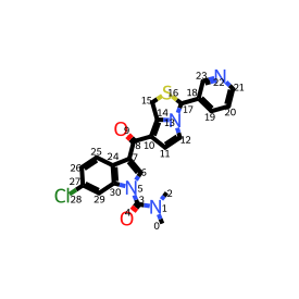 CN(C)C(=O)n1cc(C(=O)c2ccn3c2CSC3c2cccnc2)c2ccc(Cl)cc21